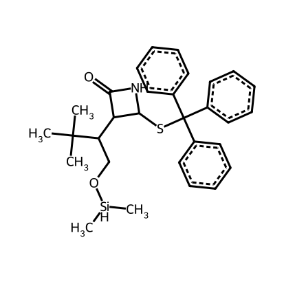 C[SiH](C)OCC(C1C(=O)NC1SC(c1ccccc1)(c1ccccc1)c1ccccc1)C(C)(C)C